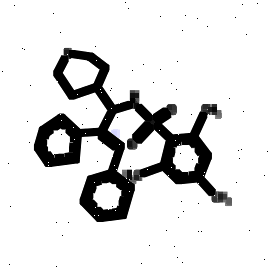 Cc1cc(C)c(S(=O)(=O)NC(/C(=C/c2ccccc2)c2ccccc2)C2CCSCC2)c(C)c1